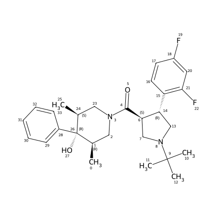 C[C@@H]1CN(C(=O)[C@@H]2CN(C(C)(C)C)C[C@H]2c2ccc(F)cc2F)C[C@H](C)[C@]1(O)c1ccccc1